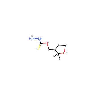 CC1(C)OCCC1COC(=S)NN